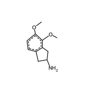 COc1ccc2c(c1OC)CC(N)C2